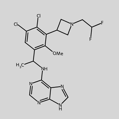 COc1c(C(C)Nc2ncnc3[nH]cnc23)cc(Cl)c(Cl)c1C1CN(CC(F)F)C1